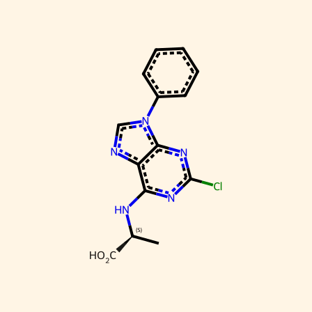 C[C@H](Nc1nc(Cl)nc2c1ncn2-c1ccccc1)C(=O)O